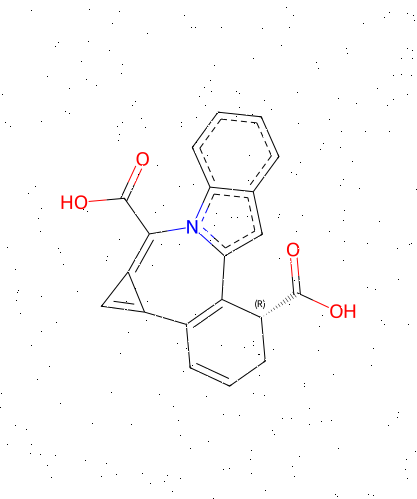 O=C(O)C1=C2C=C2C2=C(c3cc4ccccc4n31)[C@H](C(=O)O)CC=C2